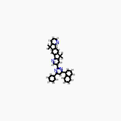 CC1(C)c2cc3c(cc2-c2ncccc21)C(C)(C)c1cc(-c2nc(-c4ccccc4)cc(-c4cccc5ccccc45)n2)cnc1-3